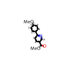 COC(=O)c1ccc(-c2ccc(OC)cc2)nc1